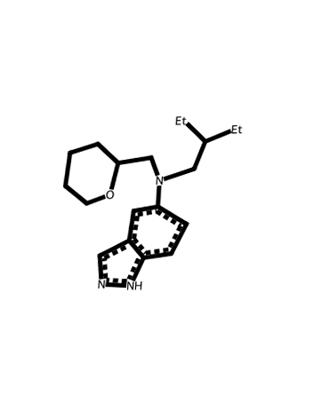 CCC(CC)CN(CC1CCCCO1)c1ccc2[nH]ncc2c1